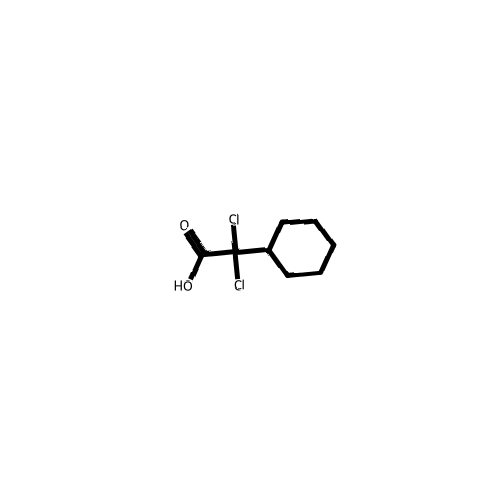 O=C(O)C(Cl)(Cl)C1CCCCC1